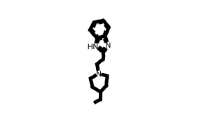 CCC1CCN(CCc2nc3ccccc3[nH]2)CC1